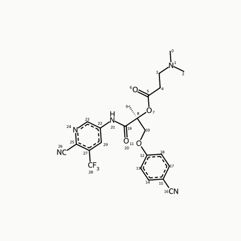 CN(C)CCC(=O)O[C@@](C)(COc1ccc(C#N)cc1)C(=O)Nc1cnc(C#N)c(C(F)(F)F)c1